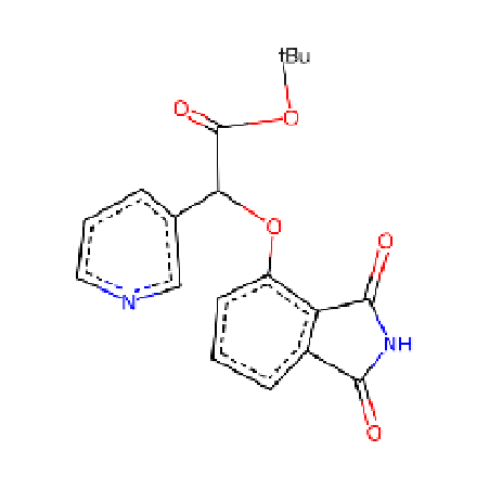 CC(C)(C)OC(=O)C(Oc1cccc2c1C(=O)NC2=O)c1cccnc1